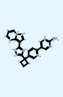 Nc1ncc(-c2ccc(C3(c4noc(-c5cnn6cccnc56)n4)CCC3)cn2)cn1